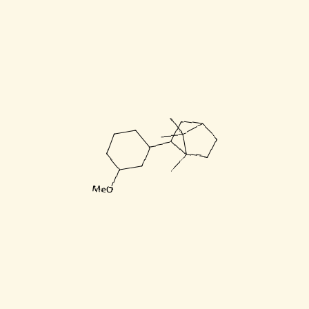 COC1CCCC(C2CC3CCC2(C)C3(C)C)C1